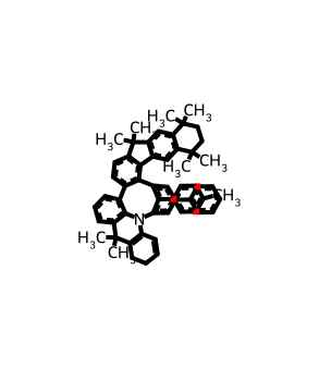 Cc1ccc(-c2c3cc(-c4ccccc4)cc2N2C4=C(CCC=C4)C(C)(C)c4cccc(c42)-c2ccc4c(c2-3)-c2cc3c(cc2C4(C)C)C(C)(C)CCC3(C)C)cc1